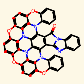 O=C1c2c(c(N3c4ccccc4Oc4ccccc43)c(N3c4ccccc4Oc4ccccc43)c(N3c4ccccc4Oc4ccccc43)c2N2c3ccccc3Oc3ccccc32)-c2nc3ccccc3n21